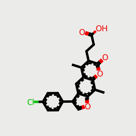 Cc1c(CCC(=O)O)c(=O)oc2c(C)c3occ(-c4ccc(Cl)cc4)c3cc12